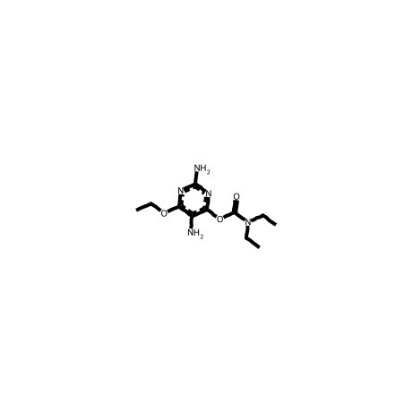 CCOc1nc(N)nc(OC(=O)N(CC)CC)c1N